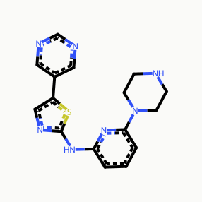 c1cc(Nc2ncc(-c3cncnc3)s2)nc(N2CCNCC2)c1